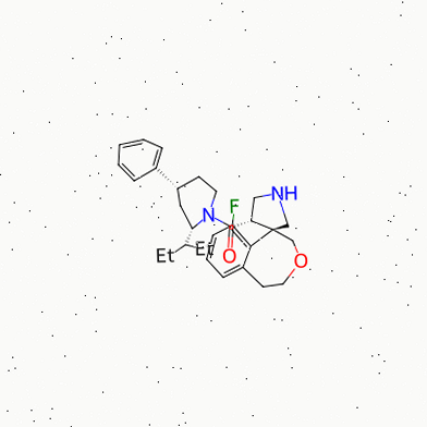 CCC(CC)[C@@H]1C[C@H](c2ccccc2)CCN1C(=O)[C@@H]1CNC[C@]12COCCc1cccc(F)c12